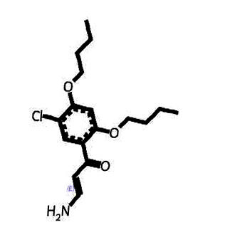 CCCCOc1cc(OCCCC)c(C(=O)/C=C/N)cc1Cl